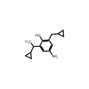 CC(c1cc(N)cc(CC2CC2)c1O)C1CC1